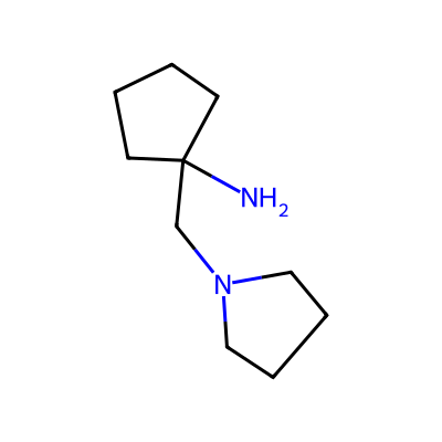 NC1(CN2CCCC2)CCCC1